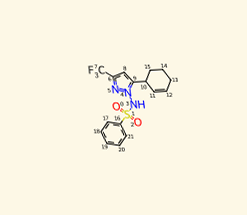 O=S(=O)(Nn1nc(C(F)(F)F)cc1C1C=CCCC1)c1ccccc1